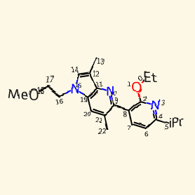 CCOc1nc(C(C)C)ccc1-c1nc2c(C)cn(CCOC)c2cc1C